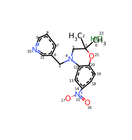 CC1(C)CN(Cc2cccnc2)c2cc([N+](=O)[O-])ccc2O1.Cl